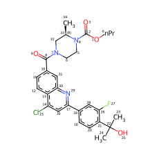 CCCOC(=O)N1CCN(C(=O)c2ccc3c(Cl)cc(-c4ccc(C(C)(C)O)c(F)c4)nc3c2)C[C@H]1C